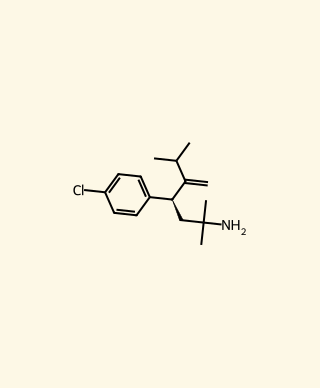 C=C(C(C)C)[C@@H](CC(C)(C)N)c1ccc(Cl)cc1